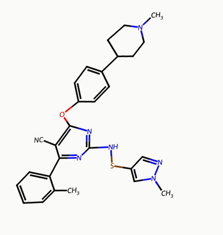 Cc1ccccc1-c1nc(NSc2cnn(C)c2)nc(Oc2ccc(C3CCN(C)CC3)cc2)c1C#N